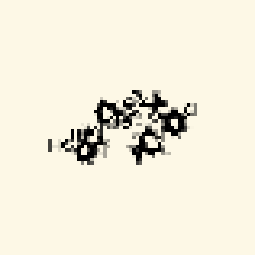 O=C(NS(=O)(=O)c1cccc(N2C[C@H]3CC[C@@H](O)[C@H]3C2)n1)C1(Oc2cc(Cl)ccc2N2CCC3(CC2)CC3)CC1